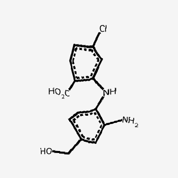 Nc1cc(CO)ccc1Nc1cc(Cl)ccc1C(=O)O